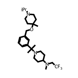 CC(C)N1CCC(C)(OCc2cccc(C(C)(C)N3CCC(N(C)CC(F)(F)F)CC3)c2)CC1